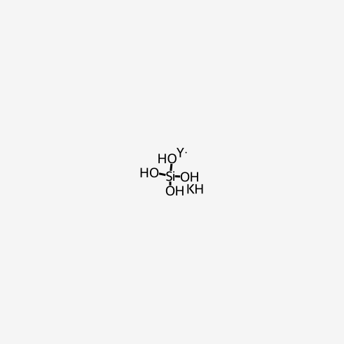 O[Si](O)(O)O.[KH].[Y]